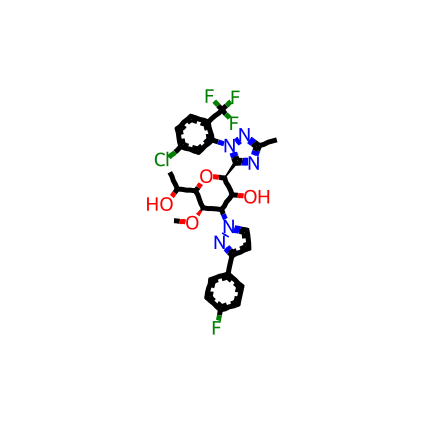 CO[C@H]1C(C(C)O)O[C@@H](c2nc(C)nn2-c2cc(Cl)ccc2C(F)(F)F)C(O)C1n1ccc(-c2ccc(F)cc2)n1